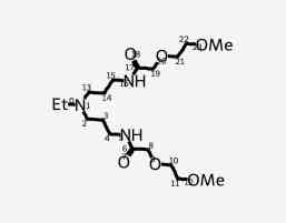 CCN(CCCNC(=O)COCCOC)CCCNC(=O)COCCOC